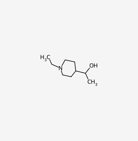 CCN1CCC(C(C)O)CC1